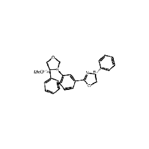 CO[C@]1(c2ccccc2)COCN1c1cc[c]c(C2=N[C@H](c3ccccc3)CO2)c1